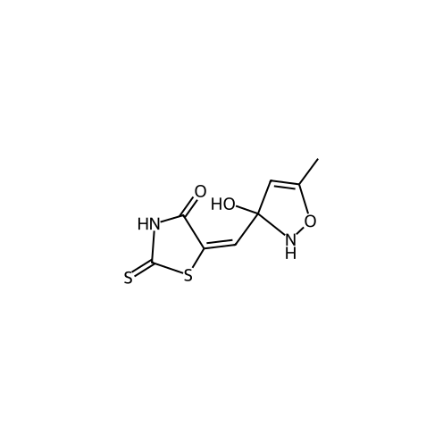 CC1=CC(O)(C=C2SC(=S)NC2=O)NO1